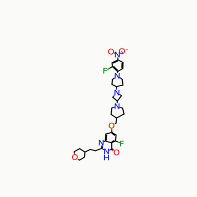 O=c1[nH]c(CCC2CCOCC2)nc2cc(OCC3CCN(C4CN(C5CCN(c6ccc([N+](=O)[O-])cc6F)CC5)C4)CC3)cc(F)c12